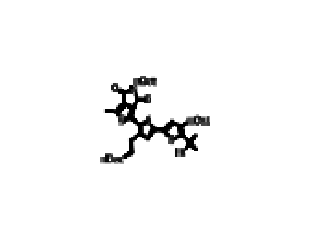 CCCCCCCCCCCCc1cc(-c2cc(CCCCCCCC)c(C(C)(C)CC)s2)sc1-c1sc(C)c2c1C(=O)N(CCCCCCCC)C2=O